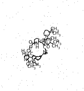 CCn1c(-c2cccnc2[C@H](C)OC)c2c3cc(ccc31)-c1csc(n1)C[C@H](NC(=O)C(C(C)C)N(C)C(=O)N1CCCC[C@@H](N(C)C)C1)C(=O)N1CCC[C@H](N1)C(=O)OCC(C)(C)C2